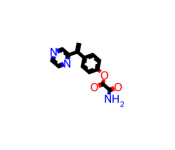 C=C(c1ccc(OC(=O)C(N)=O)cc1)c1cnccn1